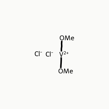 C[O][V+2][O]C.[Cl-].[Cl-]